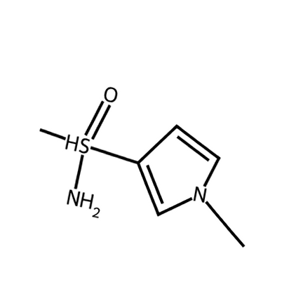 Cn1ccc([SH](C)(N)=O)c1